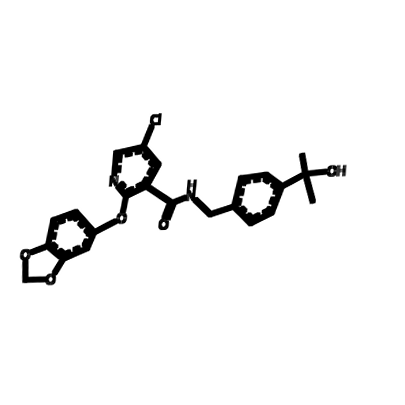 CC(C)(O)c1ccc(CNC(=O)c2cc(Cl)cnc2Oc2ccc3c(c2)OCO3)cc1